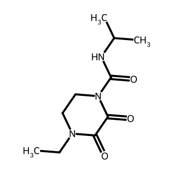 CCN1CCN(C(=O)NC(C)C)C(=O)C1=O